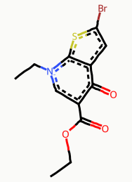 CCOC(=O)c1cn(CC)c2sc(Br)cc2c1=O